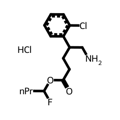 CCCC(F)OC(=O)CCC(CN)c1ccccc1Cl.Cl